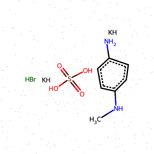 Br.CNc1ccc(N)cc1.O=S(=O)(O)O.[KH].[KH]